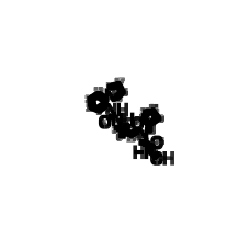 CC(C)(CNC(=O)Nc1ccccc1N1CCCC1)CC(=O)N(CC(=O)NO)CC1CCCC1